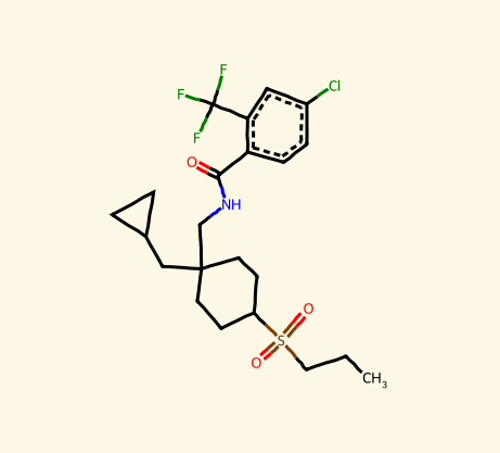 CCCS(=O)(=O)C1CCC(CNC(=O)c2ccc(Cl)cc2C(F)(F)F)(CC2CC2)CC1